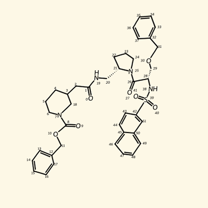 O=C(CC1CCCN(C(=O)OCc2ccccc2)C1)NC[C@@H]1CCCN1C(=O)[C@H](COCc1ccccc1)NS(=O)(=O)c1ccc2ccccc2c1